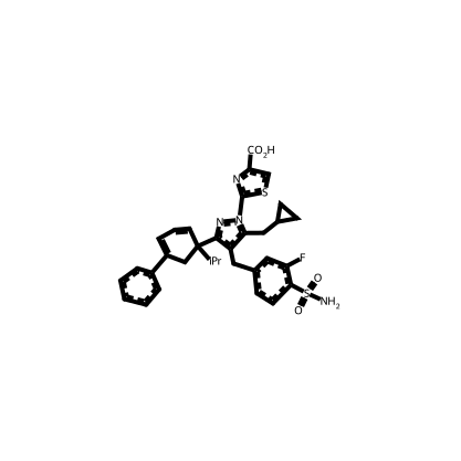 CC(C)C1(c2nn(-c3nc(C(=O)O)cs3)c(CC3CC3)c2Cc2ccc(S(N)(=O)=O)c(F)c2)C=CC=C(c2ccccc2)C1